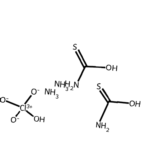 N.N.NC(O)=S.NC(O)=S.[O-][Cl+3]([O-])([O-])O